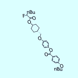 CCCCOc1ccc(C(=O)Oc2ccc(OC[C@H]3CC[C@H](OC(=O)[C@@H](F)CCCC)CC3)cc2)cc1